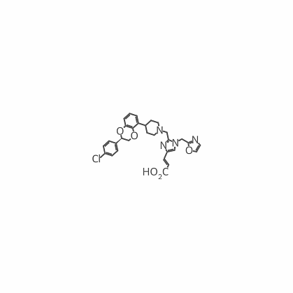 O=C(O)/C=C/c1cn(Cc2ncco2)c(CN2CCC(c3cccc4c3OC[C@@H](c3ccc(Cl)cc3)O4)CC2)n1